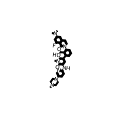 CN1CCN(c2ccc(Nc3cc(-c4cccc(-n5ccc6cc(N(C)C)cc(F)c6c5=O)c4CO)cn(C)c3=O)nc2)CC1